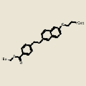 CCCCCCCCCCCCOc1ccc2cc(CCc3ccc(C(=O)OC[C@H](C)CC)cc3)ccc2c1